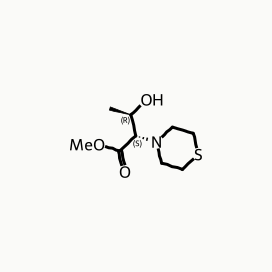 COC(=O)[C@H]([C@@H](C)O)N1CCSCC1